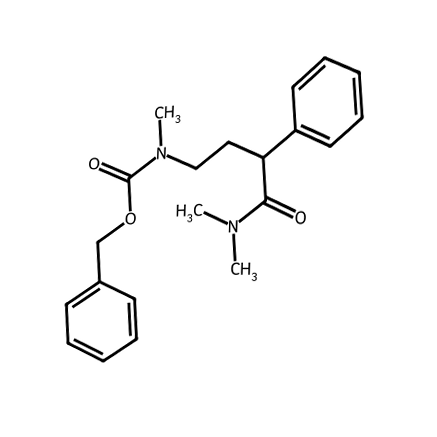 CN(C)C(=O)C(CCN(C)C(=O)OCc1ccccc1)c1ccccc1